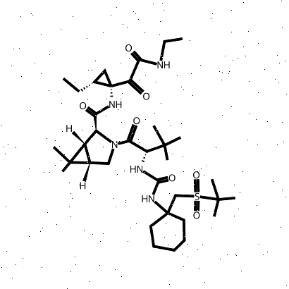 CCNC(=O)C(=O)[C@]1(NC(=O)[C@@H]2[C@@H]3[C@H](CN2C(=O)[C@@H](NC(=O)NC2(CS(=O)(=O)C(C)(C)C)CCCCC2)C(C)(C)C)C3(C)C)C[C@H]1CC